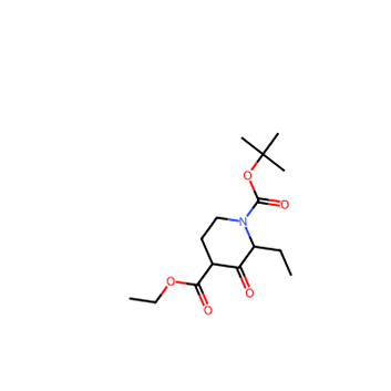 CCOC(=O)C1CCN(C(=O)OC(C)(C)C)C(CC)C1=O